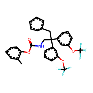 Cc1ccccc1OC(=O)NCC(Cc1ccccc1)(c1cccc(OC(F)(F)F)c1)c1cccc(OC(F)(F)F)c1